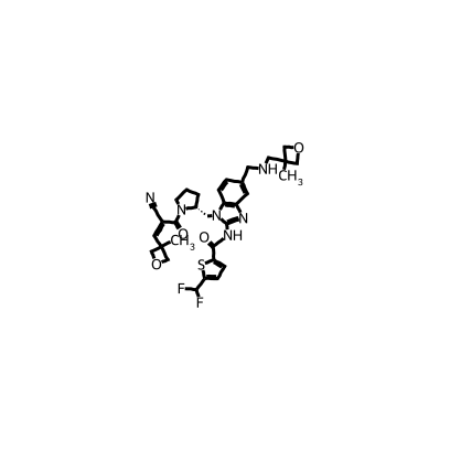 CC1(/C=C(/C#N)C(=O)N2CCC[C@@H]2Cn2c(NC(=O)c3ccc(C(F)F)s3)nc3cc(CNCC4(C)COC4)ccc32)COC1